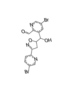 O=Cc1ncc(Br)cc1C(O)C1CC(c2ccc(Br)cn2)=NO1